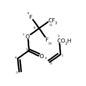 C=CC(=O)O.C=CC(=O)OC(F)(F)C(F)(F)F